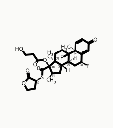 C[C@@H]1C[C@H]2[C@@H]3C[C@H](F)C4=CC(=O)C=C[C@]4(C)C3(F)CC[C@]2(C)[C@@]1(OC(=O)CCO)C(=O)S[C@H]1CCOC1=O